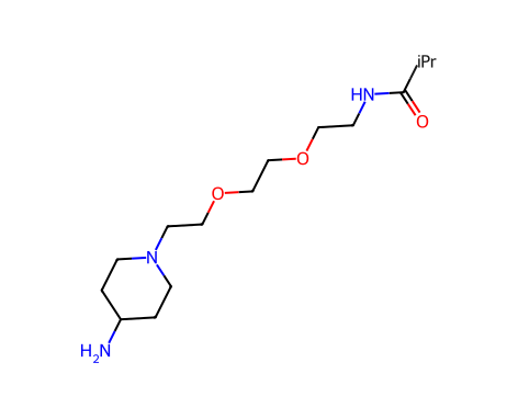 CC(C)C(=O)NCCOCCOCCN1CCC(N)CC1